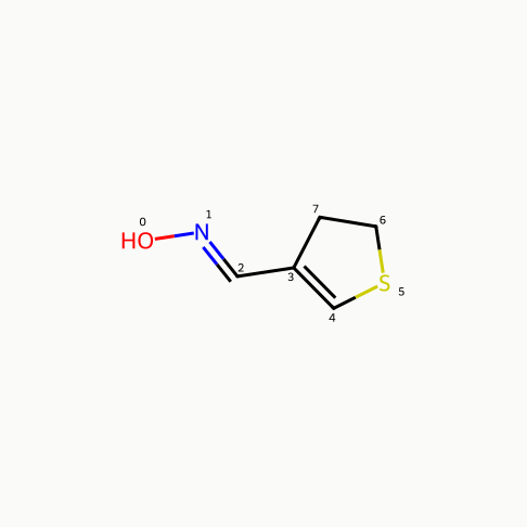 ON=CC1=CSCC1